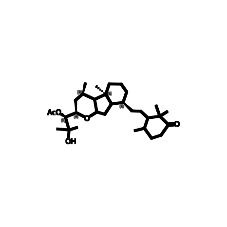 CC(=O)O[C@@H]([C@H]1C[C@@H](C)C2C(CC3[C@H](CCC4C(C)CCC(=O)C4(C)C)CCC[C@@]32C)O1)C(C)(C)O